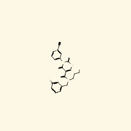 CCCCN(Cc1cccc(Br)c1)C(=O)c1c[nH]c(=O)n(-c2cccc(C#N)c2)c1=O